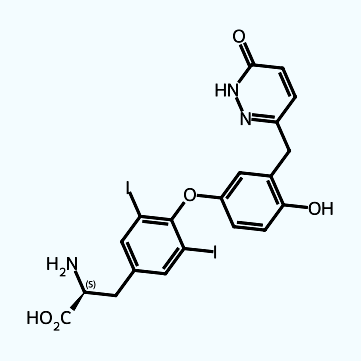 N[C@@H](Cc1cc(I)c(Oc2ccc(O)c(Cc3ccc(=O)[nH]n3)c2)c(I)c1)C(=O)O